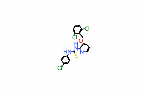 S=C(Nc1ccc(Cl)cc1)Nc1ncccc1OCc1c(Cl)cccc1Cl